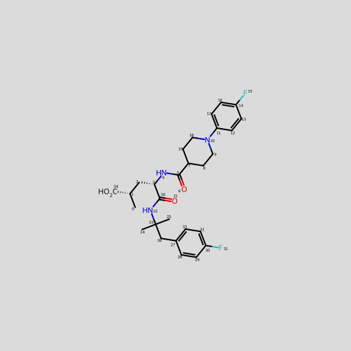 C[C@@H](C[C@H](NC(=O)C1CCN(c2ccc(F)cc2)CC1)C(=O)NC(C)(C)Cc1ccc(F)cc1)C(=O)O